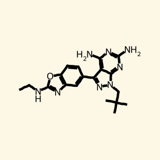 CCNc1nc2cc(-c3nn(CC(C)(C)C)c4nc(N)nc(N)c34)ccc2o1